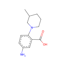 CC1CCCN(c2ccc(N)cc2C(=O)O)C1